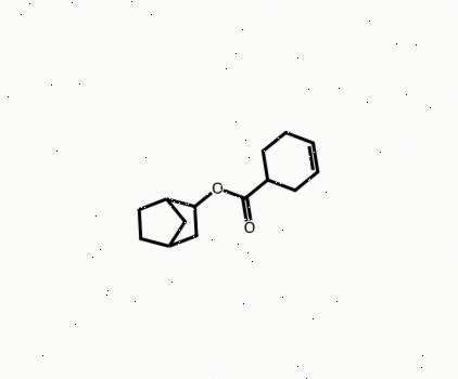 O=C(OC1CC2CCC1C2)C1CC=CCC1